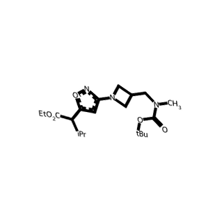 CCOC(=O)C(c1cc(N2CC(CN(C)C(=O)OC(C)(C)C)C2)no1)C(C)C